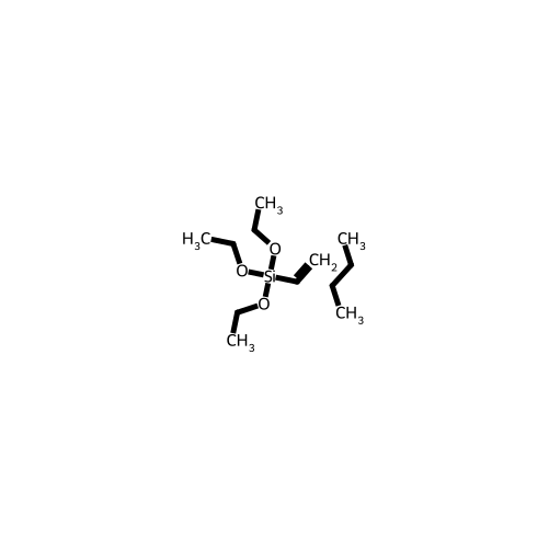 C=C[Si](OCC)(OCC)OCC.CCCC